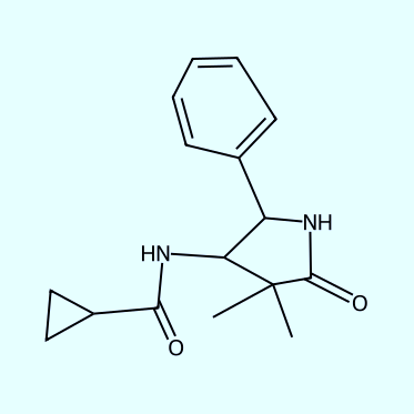 CC1(C)C(=O)NC(c2ccccc2)C1NC(=O)C1CC1